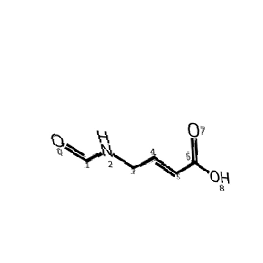 O=CNCC=CC(=O)O